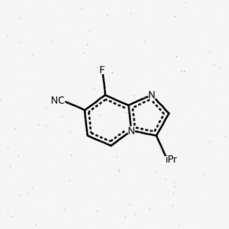 CC(C)c1cnc2c(F)c(C#N)ccn12